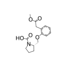 COC(=O)Cc1ccccc1OC[C@@H]1CCCN1C(=O)O